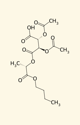 CCCCOC(=O)[C@H](C)OC(=O)[C@H](OC(C)=O)[C@@H](OC(C)=O)C(=O)O